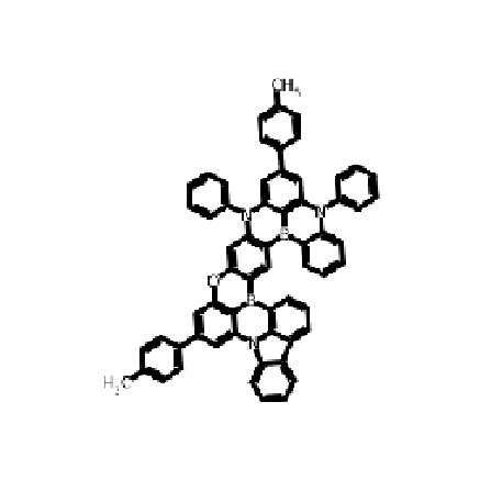 Cc1ccc(-c2cc3c4c(c2)N(c2ccccc2)c2cc5c(cc2B4c2ccccc2N3c2ccccc2)B2c3c(cc(-c4ccc(C)cc4)cc3-n3c4ccccc4c4cccc2c43)O5)cc1